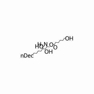 CCCCCCCCCCCCCCC(O)C(O)C(N)COC(=O)CCCCCO